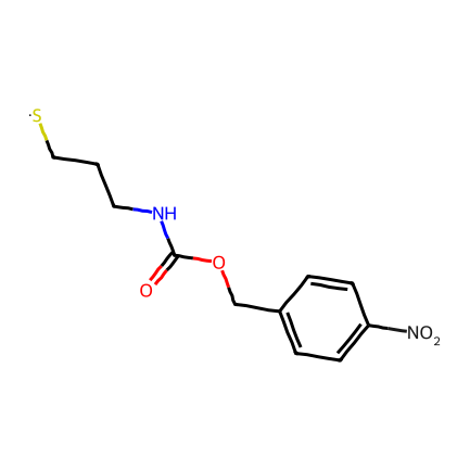 O=C(NCCC[S])OCc1ccc([N+](=O)[O-])cc1